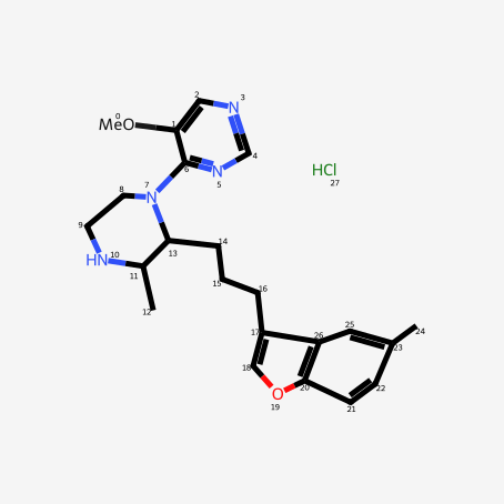 COc1cncnc1N1CCNC(C)C1CCCc1coc2ccc(C)cc12.Cl